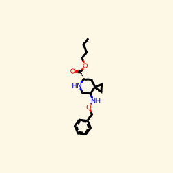 CCCCOC(=O)[C@@H]1CC2(CC2)C(NOCc2ccccc2)CN1